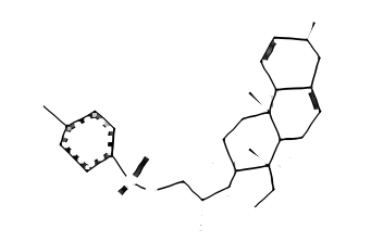 Cc1ccc(S(=O)(=O)OC[C@@H](C)[C@H]2CC[C@H]3[C@@H]4CC=C5C[C@H](O)C=C[C@]5(C)[C@H]4CC[C@]23C)cc1